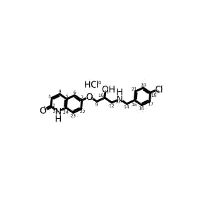 Cl.O=c1ccc2cc(OCC(O)CNCc3ccc(Cl)cc3)ccc2[nH]1